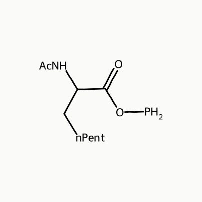 CCCCCCC(NC(C)=O)C(=O)OP